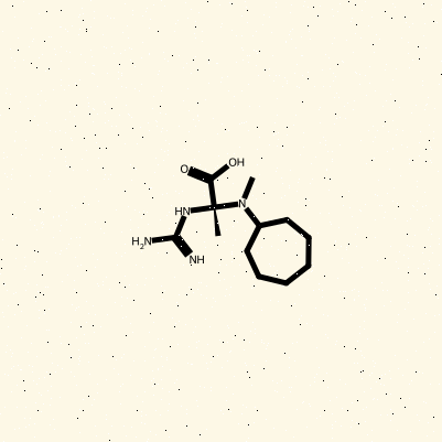 CN(C1CCCCCC1)[C@](C)(NC(=N)N)C(=O)O